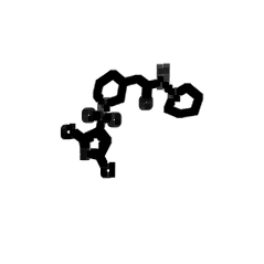 O=C(CC1CCCN(S(=O)(=O)c2cc(Cl)sc2Cl)C1)NN1CCCCC1